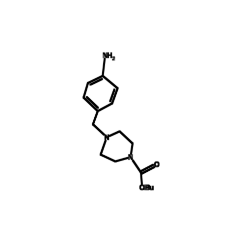 CC(C)COC(=O)N1CCN(Cc2ccc(N)cc2)CC1